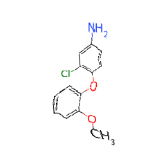 COc1ccccc1Oc1ccc(N)cc1Cl